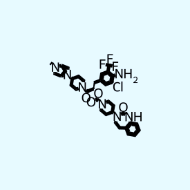 CN1CC2CC1CN2C1CCN(C(=O)[C@@H](Cc2cc(Cl)c(N)c(C(F)(F)F)c2)OC(=O)N2CCC(N3CCc4ccccc4NC3=O)CC2)CC1